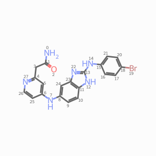 NC(=O)Cc1cc(Nc2ccc3[nH]c(Nc4ccc(Br)cc4)nc3c2)ccn1